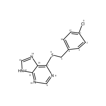 Clc1ccc(CSc2ncnc3[nH]cnc23)cc1